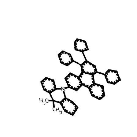 CC1(C)c2ccccc2N(c2ccc3c(c2)c2ccccc2c2c(-c4ccccc4)cc(-c4ccccc4)c(-c4ccccc4)c32)c2ccccc21